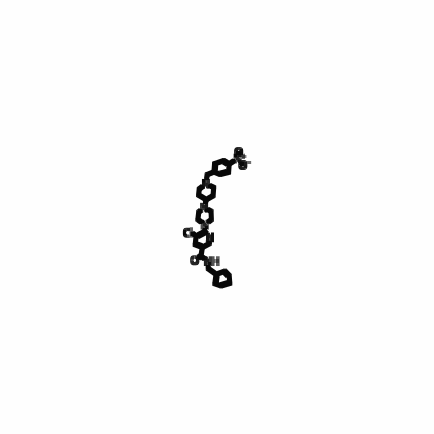 O=C(NCc1ccccc1)c1cnc(N2CCN(C3CCN(Cc4ccc([N+](=O)[O-])cc4)CC3)CC2)c(Cl)c1